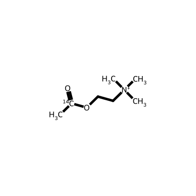 C[14C](=O)OCC[N+](C)(C)C